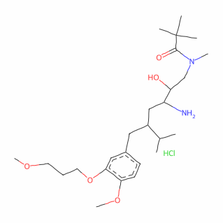 COCCCOc1cc(CC(CC(N)C(O)CN(C)C(=O)C(C)(C)C)C(C)C)ccc1OC.Cl